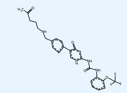 CC(=O)CCCNCc1ccc(-c2c[nH]c(NC(=O)Nc3ccccc3OC(F)(F)F)nc2=O)cc1